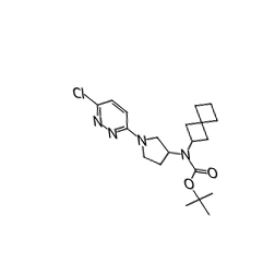 CC(C)(C)OC(=O)N(C1CCN(c2ccc(Cl)nn2)C1)C1CC2(CCC2)C1